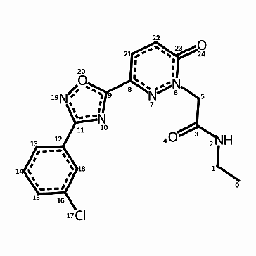 CCNC(=O)Cn1nc(-c2nc(-c3cccc(Cl)c3)no2)ccc1=O